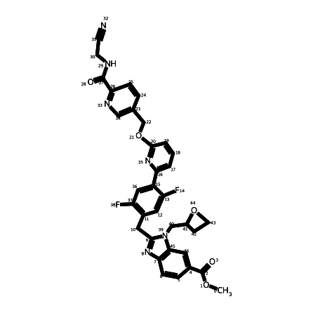 COC(=O)c1ccc2nc(Cc3cc(F)c(-c4cccc(OCc5ccc(C(=O)NCC#N)nc5)n4)cc3F)n(CC3CCO3)c2c1